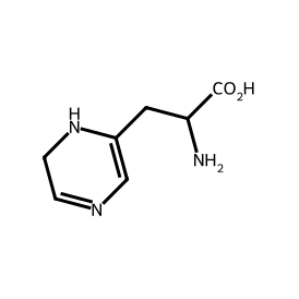 NC(CC1=CN=CCN1)C(=O)O